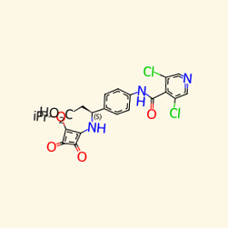 CC(C)Oc1c(N[C@@H](CC(=O)O)c2ccc(NC(=O)c3c(Cl)cncc3Cl)cc2)c(=O)c1=O